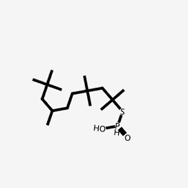 CC(CCC(C)(C)CC(C)(C)S[PH](=O)O)CC(C)(C)C